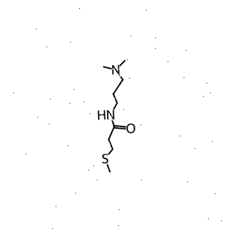 CSCCC(=O)NCCCN(C)C